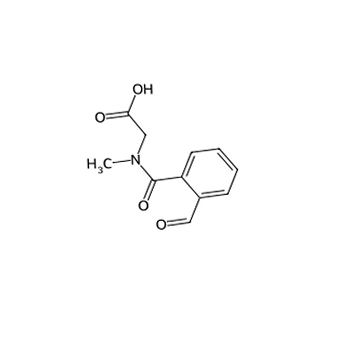 CN(CC(=O)O)C(=O)c1ccccc1C=O